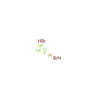 Br.Br.F.F.F.[P]